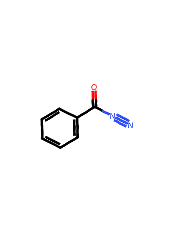 N#[N+]C(=O)c1ccccc1